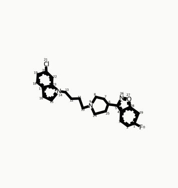 Fc1ccc2c(C3CCN(CCCCn4ccc5ccc(Cl)cc54)CC3)noc2c1